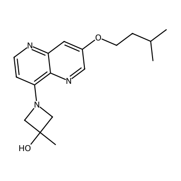 CC(C)CCOc1cnc2c(N3CC(C)(O)C3)ccnc2c1